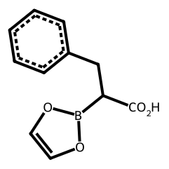 O=C(O)C(Cc1ccccc1)B1OC=CO1